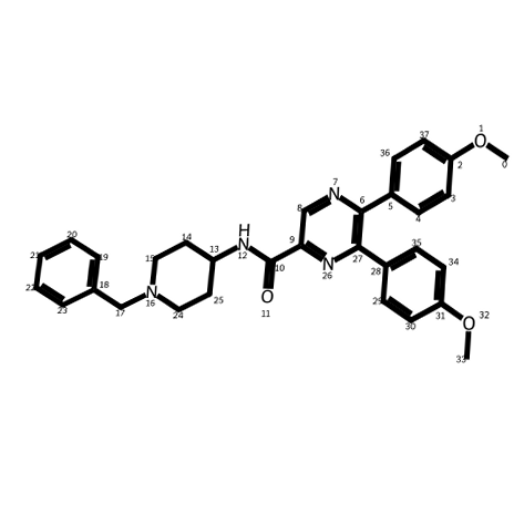 COc1ccc(-c2ncc(C(=O)NC3CCN(Cc4ccccc4)CC3)nc2-c2ccc(OC)cc2)cc1